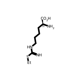 CCSC(=N)NCCCC[C@H](N)C(=O)O